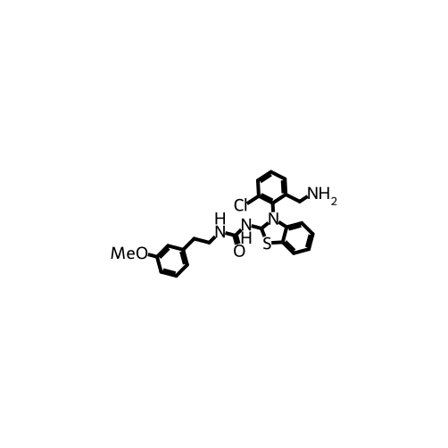 COc1cccc(CCNC(=O)NC2Sc3ccccc3N2c2c(Cl)cccc2CN)c1